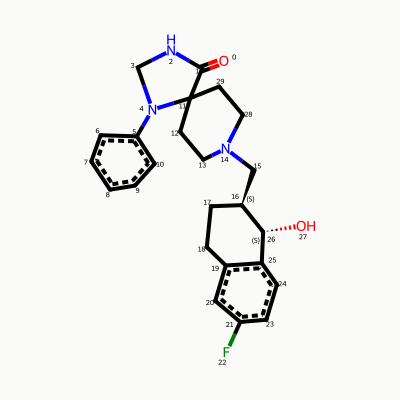 O=C1NCN(c2ccccc2)C12CCN(C[C@@H]1CCc3cc(F)ccc3[C@H]1O)CC2